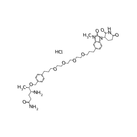 C[C@@H](OCc1ccc(CCCOCCOCCOCCOCCCc2ccc3c(c2)n(C)c(=O)n3C2CCC(=O)NC2=O)cc1)[C@@H](N)CCC(N)=O.Cl